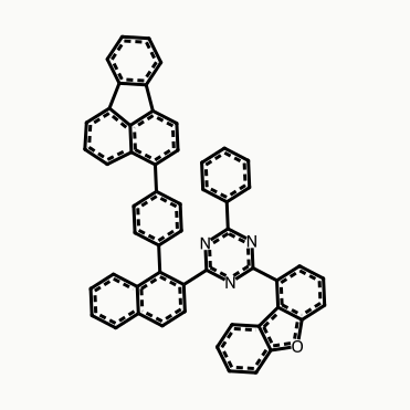 c1ccc(-c2nc(-c3ccc4ccccc4c3-c3ccc(-c4ccc5c6c(cccc46)-c4ccccc4-5)cc3)nc(-c3cccc4oc5ccccc5c34)n2)cc1